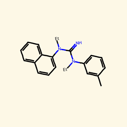 CCN(C(=N)N(CC)c1cccc2ccccc12)c1cccc(C)c1